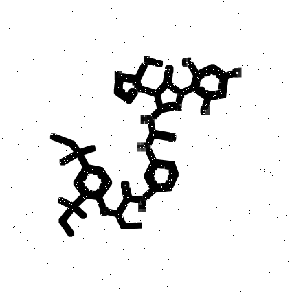 CCC(Oc1ccc(C(C)(C)CC)cc1C(C)(C)CC)C(=O)Nc1cccc(NC(=O)NC2=NN(c3c(Cl)cc(Cl)cc3Cl)C(=O)C2n2ccnc2SC)c1